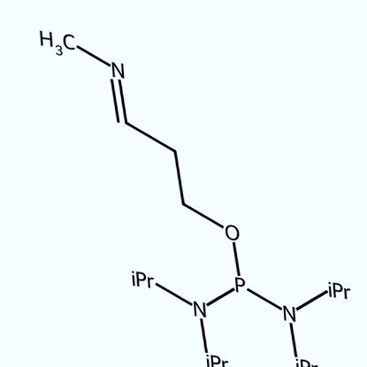 C/N=C/CCOP(N(C(C)C)C(C)C)N(C(C)C)C(C)C